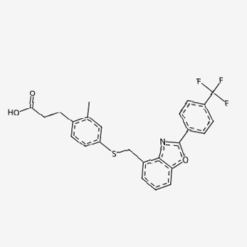 Cc1cc(SCc2cccc3oc(-c4ccc(C(F)(F)F)cc4)nc23)ccc1CCC(=O)O